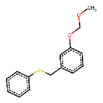 COCOc1cccc(CSc2ccccc2)c1